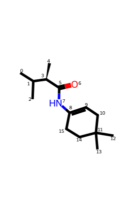 CC(C)[C@@H](C)C(=O)NC1=CCC(C)(C)CC1